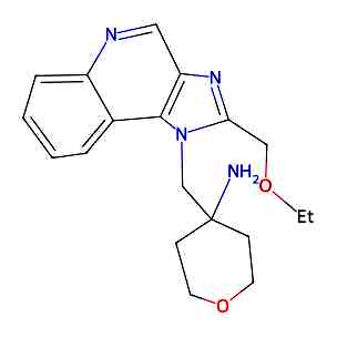 CCOCc1nc2cnc3ccccc3c2n1CC1(N)CCOCC1